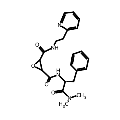 CN(C)C(=O)[C@H](Cc1ccccc1)NC(=O)C1OC1C(=O)NCCc1ccccn1